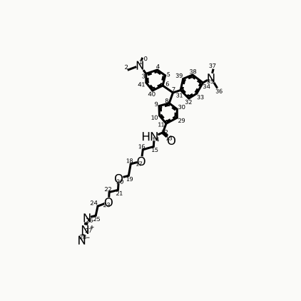 CN(C)c1ccc(C(c2ccc(C(=O)NCCOCCOCCOCCN=[N+]=[N-])cc2)c2ccc(N(C)C)cc2)cc1